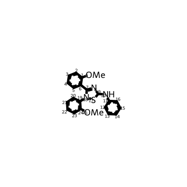 COc1ccccc1C1=NC(Nc2ccccc2)SN1c1ccccc1OC